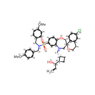 C=C[C@@H](O)[C@@H]1CC[C@H]1CN1C[C@]2(COc3ccc(S(=O)(=O)N(Cc4ccc(OC)cc4)Cc4ccc(OC)cc4)cc31)OCCc1cc(Cl)ccc12